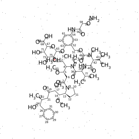 CC[C@H](C)C([C@@H](CC(=O)N1CCC[C@H]1[C@H](OC)[C@@H](C)C(=O)C[C@H](C)[C@@H](O)c1ccccc1)OC)N(C)C(=O)[C@@H](NC(=O)[C@H](C(C)C)N(C)C(=O)OCc1cc(NC(=O)CON)ccc1OC1OC(C(=O)O)C(O)C(O)C1O)C(C)C